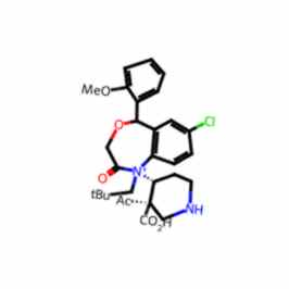 COc1ccccc1C1OCC(=O)[N+](CC(C)(C)C)([C@@H]2CCNC[C@@]2(C(C)=O)C(=O)O)c2ccc(Cl)cc21